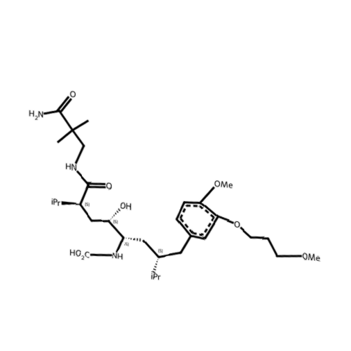 COCCCOc1cc(C[C@@H](C[C@H](NC(=O)O)[C@@H](O)C[C@H](C(=O)NCC(C)(C)C(N)=O)C(C)C)C(C)C)ccc1OC